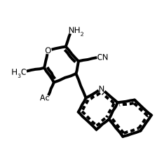 CC(=O)C1=C(C)OC(N)=C(C#N)C1c1ccc2ccccc2n1